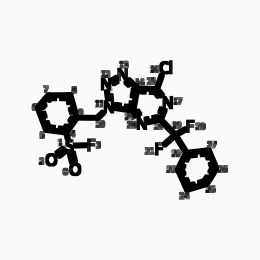 O=S(=O)(F)c1ccccc1Cn1nnc2c(Cl)nc(C(F)(F)c3ccccc3)nc21